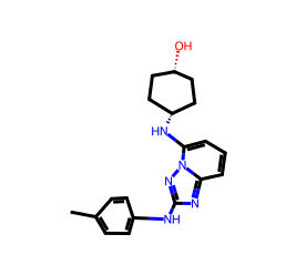 Cc1ccc(Nc2nc3cccc(N[C@H]4CC[C@@H](O)CC4)n3n2)cc1